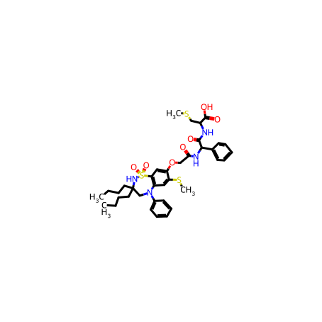 CCCCC1(CCCC)CN(c2ccccc2)c2cc(SC)c(OCC(=O)NC(C(=O)NC(CSC)C(=O)O)c3ccccc3)cc2S(=O)(=O)N1